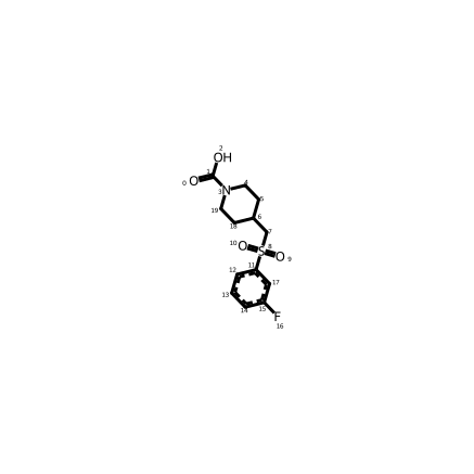 O=C(O)N1CCC(CS(=O)(=O)c2cccc(F)c2)CC1